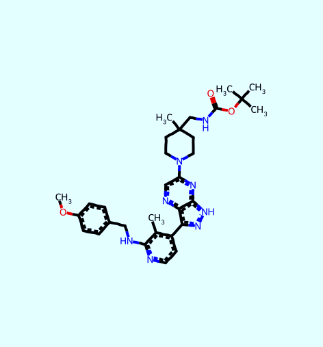 COc1ccc(CNc2nccc(-c3n[nH]c4nc(N5CCC(C)(CNC(=O)OC(C)(C)C)CC5)cnc34)c2C)cc1